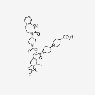 Cc1cc(C[C@@H](OC(=O)N2CCC(N3CCc4ccccc4NC3=O)CC2)C(=O)N2CCC(N3CCC(C(=O)O)CC3)CC2)cc2oc(=O)n(C)c12